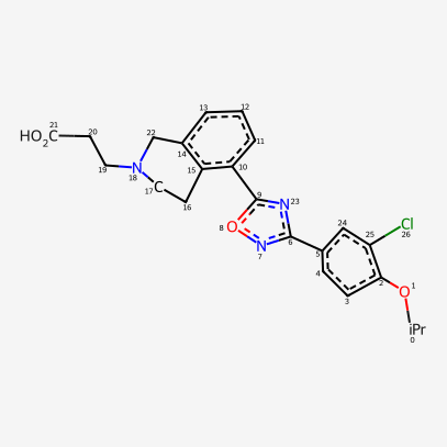 CC(C)Oc1ccc(-c2noc(-c3cccc4c3CCN(CCC(=O)O)C4)n2)cc1Cl